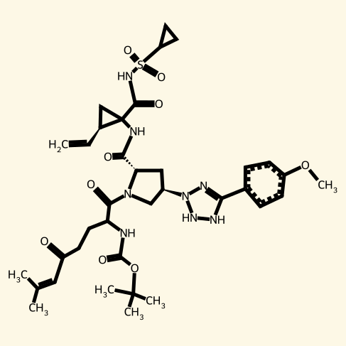 C=C[C@H]1CC1(NC(=O)[C@@H]1C[C@@H](N2N=C(c3ccc(OC)cc3)NN2)CN1C(=O)C(CCC(=O)C=C(C)C)NC(=O)OC(C)(C)C)C(=O)NS(=O)(=O)C1CC1